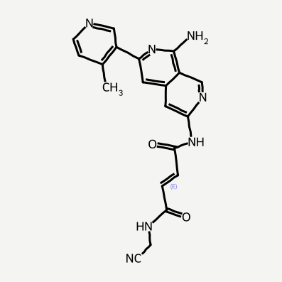 Cc1ccncc1-c1cc2cc(NC(=O)/C=C/C(=O)NCC#N)ncc2c(N)n1